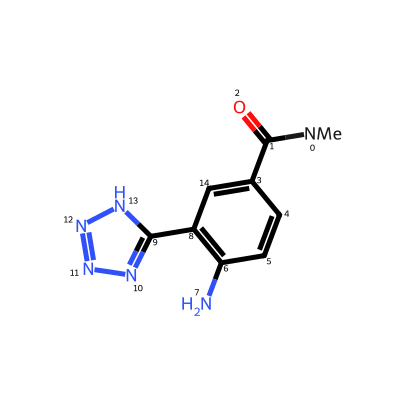 CNC(=O)c1ccc(N)c(-c2nnn[nH]2)c1